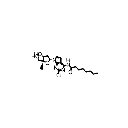 C#C[C@]1(CO)O[C@@H](n2ccc3c(NC(=O)CCCCCCC)nc(Cl)nc32)C[C@@H]1O